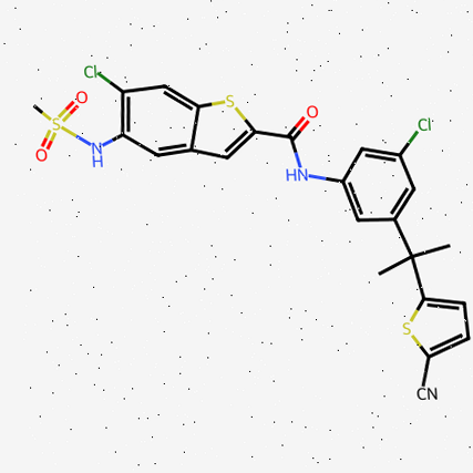 CC(C)(c1cc(Cl)cc(NC(=O)c2cc3cc(NS(C)(=O)=O)c(Cl)cc3s2)c1)c1ccc(C#N)s1